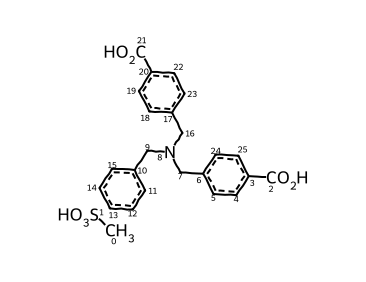 CS(=O)(=O)O.O=C(O)c1ccc(CN(Cc2ccccc2)Cc2ccc(C(=O)O)cc2)cc1